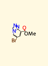 COC(=O)c1cc(Br)cn2cnnc12